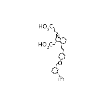 CC(C)Cc1cccc(COc2ccc(C=Cc3cccc4c3c(CC(=O)O)cn4CCCC(=O)O)cc2)c1